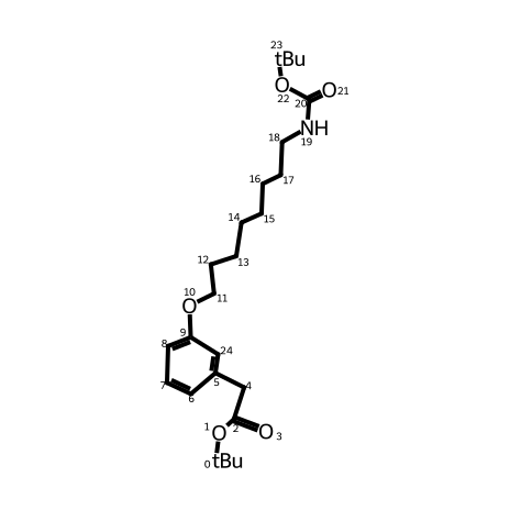 CC(C)(C)OC(=O)Cc1cccc(OCCCCCCCCNC(=O)OC(C)(C)C)c1